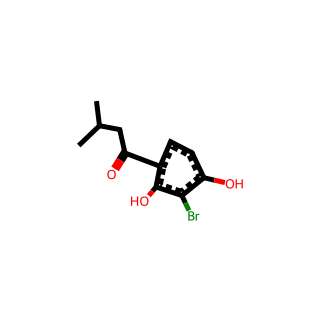 CC(C)CC(=O)c1ccc(O)c(Br)c1O